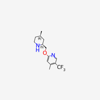 Cc1cc(OC[C@@H]2C[C@H](C)CCN2)ncc1C(F)(F)F